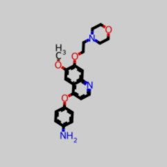 COc1cc2c(Oc3ccc(N)cc3)ccnc2cc1OCCN1CCOCC1